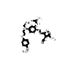 CCN(CCOc1ccc(OC)cc1)c1ccc(N=Nc2snc(C)c2C#N)c(NC(C)=O)c1